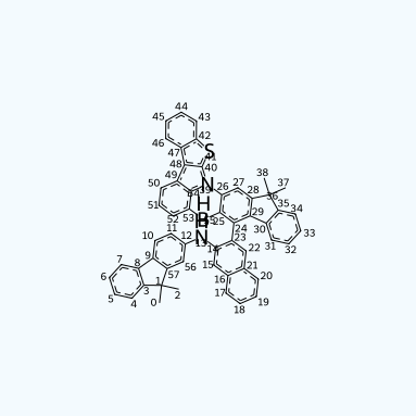 CC1(C)c2ccccc2-c2ccc(Nc3cc4ccccc4cc3-c3c4c(cc5c3-c3ccccc3C5(C)C)-n3c5sc6ccccc6c5c5cccc(c53)B4)cc21